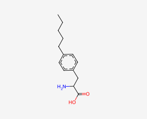 CCCCCc1ccc(CC(N)C(=O)O)cc1